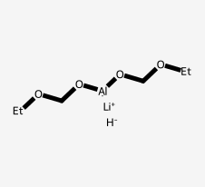 CCOC[O][Al][O]COCC.[H-].[Li+]